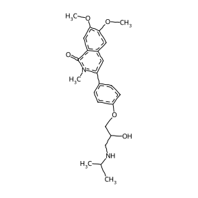 COc1cc2cc(-c3ccc(OCC(O)CNC(C)C)cc3)n(C)c(=O)c2cc1OC